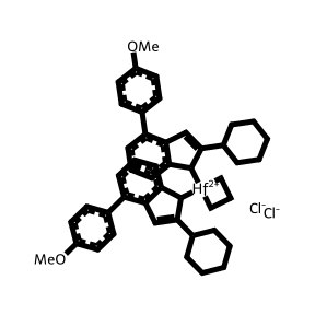 COc1ccc(-c2cccc3c2C=C(C2CCCCC2)[CH]3[Hf+2]2([CH]3C(C4CCCCC4)=Cc4c(-c5ccc(OC)cc5)cccc43)[CH2]C[CH2]2)cc1.[Cl-].[Cl-]